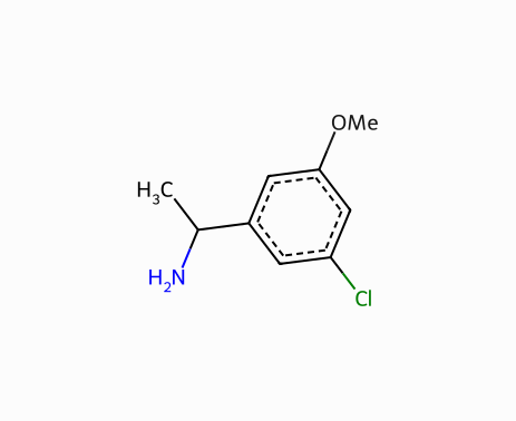 COc1cc(Cl)cc(C(C)N)c1